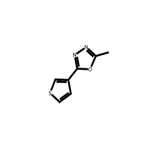 Cc1nnc(-c2c[c]sc2)o1